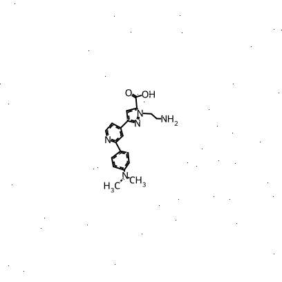 CN(C)c1ccc(-c2cc(-c3cc(C(=O)O)n(CCN)n3)ccn2)cc1